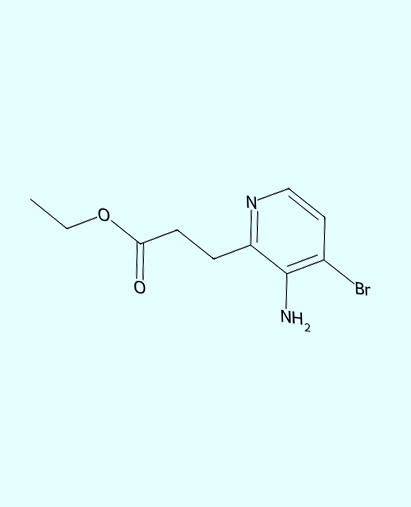 CCOC(=O)CCc1nccc(Br)c1N